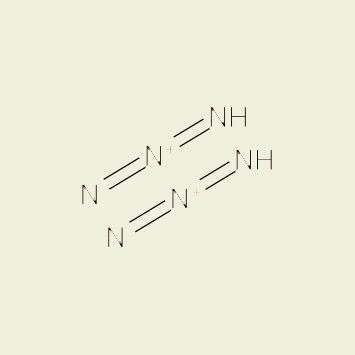 [N-]=[N+]=N.[N-]=[N+]=N